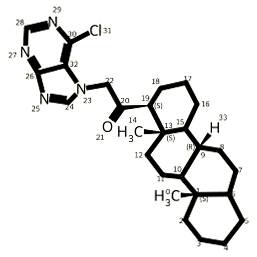 C[C@]12CCCCC1CC[C@@H]1C2CC[C@@]2(C)C1CCC[C@@H]2C(=O)Cn1cnc2ncnc(Cl)c21